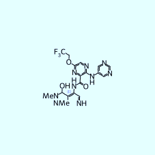 CN/C(=C(\C=N)NC(=O)c1nc(OCC(F)(F)F)cnc1Nc1cncnc1)C(O)NC